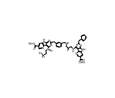 CCN(CC)CCN(CC)c1nc(Cc2cccc(CN(C)CC(C)CNc3nc(Cc4ccccc4)nc4[nH]c5cc(C(=O)OC)cnc5c34)c2)nc2[nH]c3cc(C(=O)OC)cnc3c12